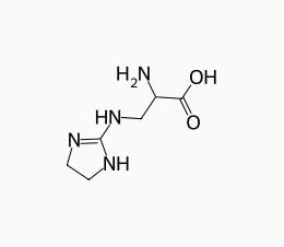 NC(CNC1=NCCN1)C(=O)O